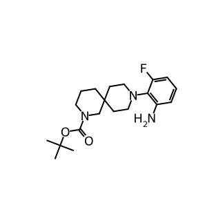 CC(C)(C)OC(=O)N1CCCC2(CCN(c3c(N)cccc3F)CC2)C1